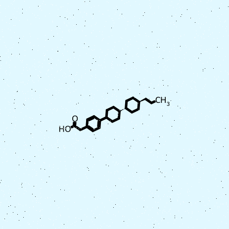 CCC[C@H]1CC[C@H](C2CCC(c3ccc(CC(=O)O)cc3)CC2)CC1